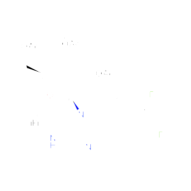 CC(=O)OC[C@@H]1O[C@H](n2c(NC(C)C)nc3cc(F)c(F)cc32)[C@@H](OC(C)=O)[C@H]1OC(C)=O